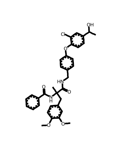 COc1ccc(CC(C)(NC(=O)c2ccccc2)C(=O)NCc2ccc(Oc3ccc(C(C)O)cc3Cl)cc2)cc1OC